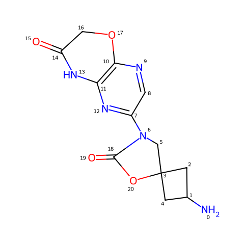 NC1CC2(C1)CN(c1cnc3c(n1)NC(=O)CO3)C(=O)O2